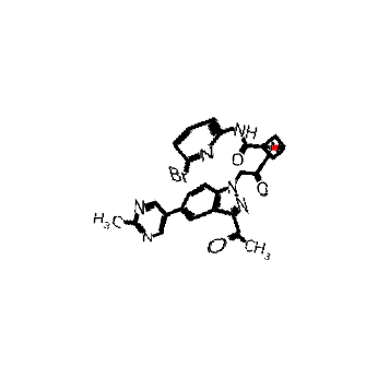 CC(=O)c1nn(CC(=O)N2CC3CC2(C(=O)Nc2cccc(Br)n2)C3)c2ccc(-c3cnc(C)nc3)cc12